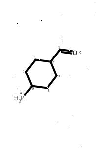 O=CC1CCC(P)CC1